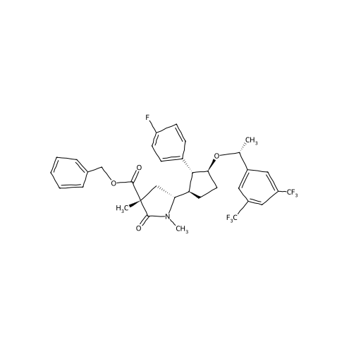 C[C@@H](O[C@H]1CC[C@@H]([C@H]2C[C@@](C)(C(=O)OCc3ccccc3)C(=O)N2C)[C@@H]1c1ccc(F)cc1)c1cc(C(F)(F)F)cc(C(F)(F)F)c1